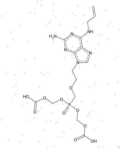 C=CCNc1nc(N)nc2c1ncn2CCOCP(=O)(OCOC(=O)O)OCOC(=O)O